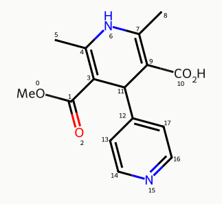 COC(=O)C1=C(C)NC(C)=C(C(=O)O)C1c1ccncc1